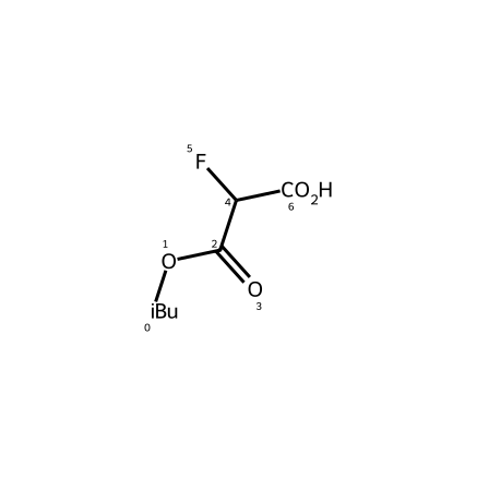 CCC(C)OC(=O)C(F)C(=O)O